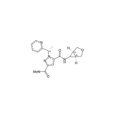 CNC(=O)c1cc(C(=O)NC2[C@H]3COC[C@@H]23)n([C@@H](C)c2ccccn2)n1